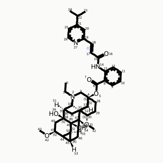 CCN1C[C@]2(OC(=O)c3ccccc3NC(=O)/C=C/c3cc(C(C)C)ccn3)CC[C@H](OC)[C@]34C1[C@@H](C[C@H]23)[C@@]1(O)C[C@H](OC)C2[C@H]3C[C@@H]4[C@]1(O)[C@H]23